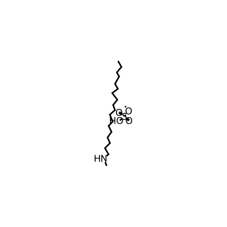 CCCCCCCCCCCCCCCCCCNC.COS(=O)(=O)O